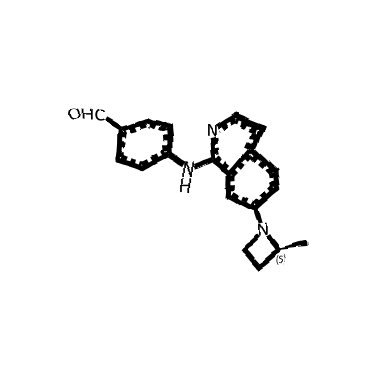 C[C@H]1CCN1c1ccc2ccnc(Nc3ccc(C=O)cc3)c2c1